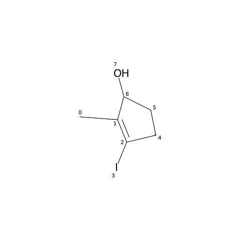 CC1=C(I)CCC1O